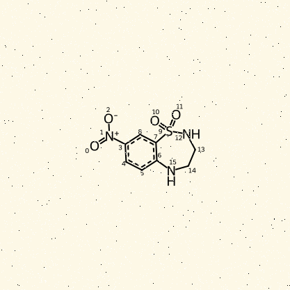 O=[N+]([O-])c1ccc2c(c1)S(=O)(=O)NCCN2